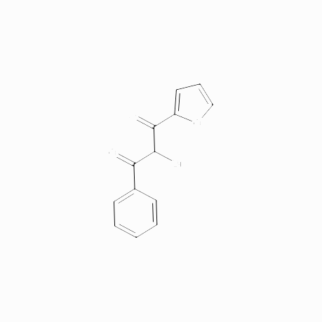 O=C(c1ccccc1)C(Br)C(=O)c1ccco1